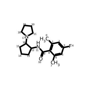 Cc1cc(F)cc(C)c1C(=O)NC1CCCC1N1CCCC1